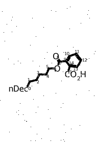 CCCCCCCCCCCCCCCOC(=O)c1ccccc1C(=O)O